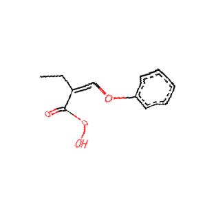 CCC(=COc1ccccc1)C(=O)OO